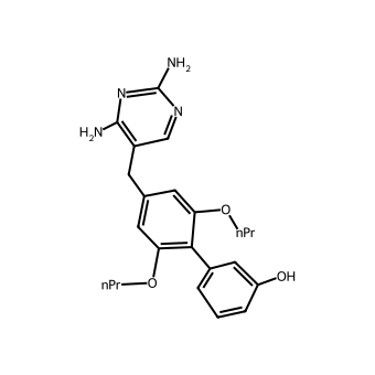 CCCOc1cc(Cc2cnc(N)nc2N)cc(OCCC)c1-c1cccc(O)c1